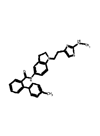 CNc1nc(CCN2CCc3cc(NC(=O)c4ccccc4-c4ccc(C)cc4)ccc32)cs1